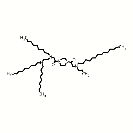 [CH2]CCN(CCCCCCCCCCCCCC)CC(=O)N1CCN(C(=O)CN(CCCCCCCCC)CCN(CCCCCCCCC)CCCCCCCCC)CC1